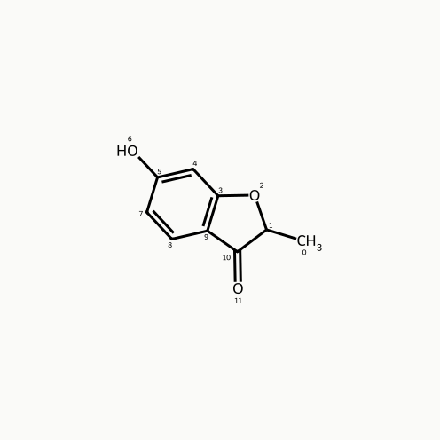 CC1Oc2cc(O)ccc2C1=O